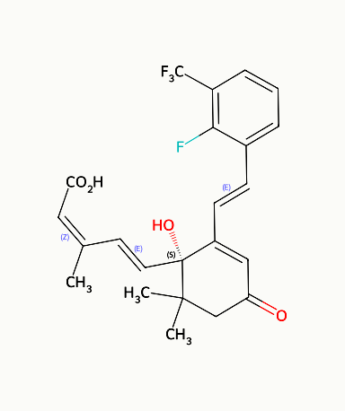 CC(=C/C(=O)O)/C=C/[C@@]1(O)C(/C=C/c2cccc(C(F)(F)F)c2F)=CC(=O)CC1(C)C